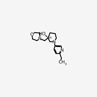 CCc1ccc(N2CCC[C@@](O)(CN3CCOCC3)C2)cn1